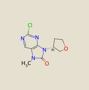 Cn1c(=O)n([C@@H]2CCOC2)c2nc(Cl)ncc21